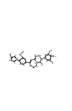 COc1cc(C2=CC3=NOC(c4cc(C)c(F)c(F)c4)C(C)N3CCC2)ccc1-n1cnc(C)c1